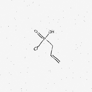 C=CCP(=O)(O)Cl